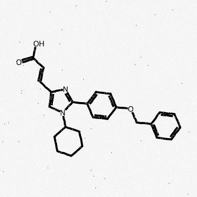 O=C(O)C=Cc1cn(C2CCCCC2)c(-c2ccc(OCc3ccccc3)cc2)n1